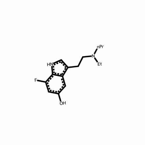 CCCN(CC)CCc1c[nH]c2c(F)cc(O)cc12